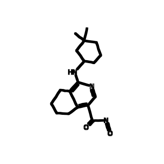 CC1(C)CCCC(Nc2ncc(C(=O)N=O)c3c2CCCC3)C1